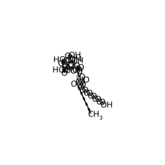 CC#CC#CC#CC#CC#CC(=O)OC[C@H](COP(=O)(O)OC1C(O)[C@H](OP(=O)(O)O)[C@H](OP(=O)(O)O)C(OP(=O)(O)O)[C@@H]1O)OC(=O)OOOOOOOOOOOOOO